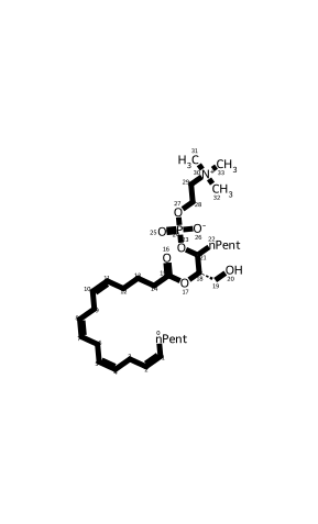 CCCCC/C=C\C/C=C\C/C=C\C/C=C\CCCC(=O)O[C@@H](CO)C(CCCCC)OP(=O)([O-])OCC[N+](C)(C)C